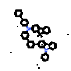 CC1(C)c2ccccc2-c2ccc(N(c3ccc(-c4ccccc4)cc3)c3cccc(-c4cccc(-c5ccc6c7ccccc7n(-c7ccccc7)c6c5)c4)c3)cc21